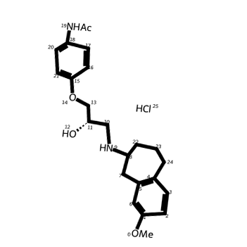 COc1ccc2c(c1)CC(NC[C@H](O)COc1ccc(NC(C)=O)cc1)CCC2.Cl